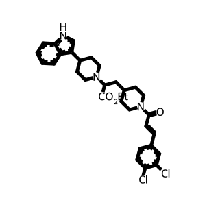 CCOC(=O)C(CC1CCN(C(=O)C=Cc2ccc(Cl)c(Cl)c2)CC1)N1CCC(c2c[nH]c3ccccc23)CC1